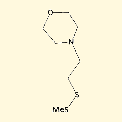 CSSCCN1CCOCC1